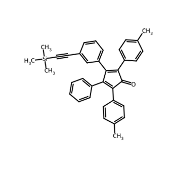 Cc1ccc(C2=C(c3ccccc3)C(c3cccc(C#C[Si](C)(C)C)c3)=C(c3ccc(C)cc3)C2=O)cc1